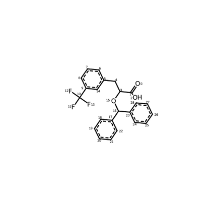 O=C(O)C(Cc1cccc(C(F)(F)F)c1)OC(c1ccccc1)c1ccccc1